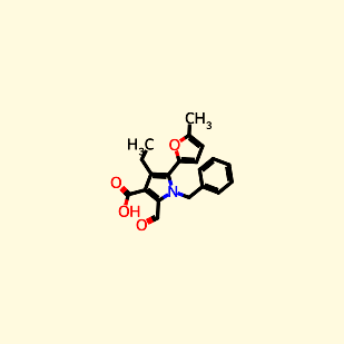 CCc1c(C(=O)O)c(C=O)n(Cc2ccccc2)c1-c1ccc(C)o1